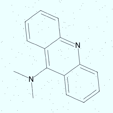 CN(C)c1c2ccccc2nc2ccccc12